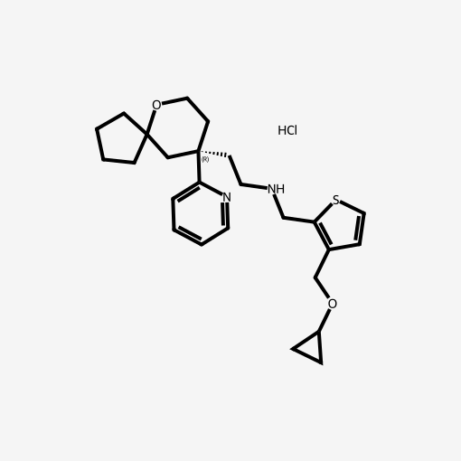 Cl.c1ccc([C@]2(CCNCc3sccc3COC3CC3)CCOC3(CCCC3)C2)nc1